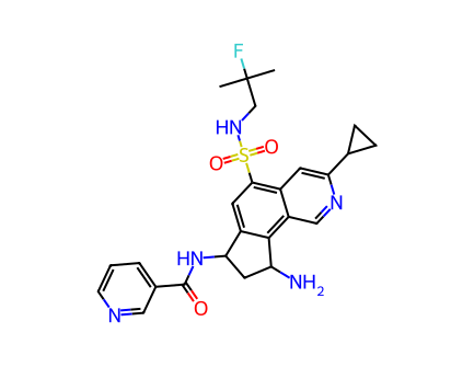 CC(C)(F)CNS(=O)(=O)c1cc2c(c3cnc(C4CC4)cc13)C(N)CC2NC(=O)c1cccnc1